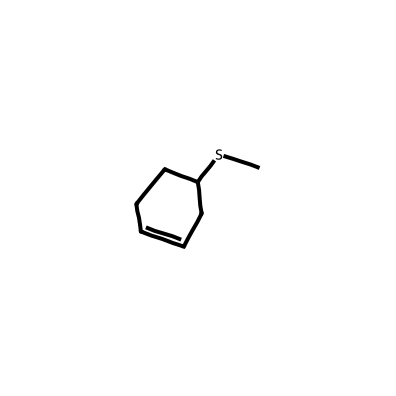 CSC1CC=CCC1